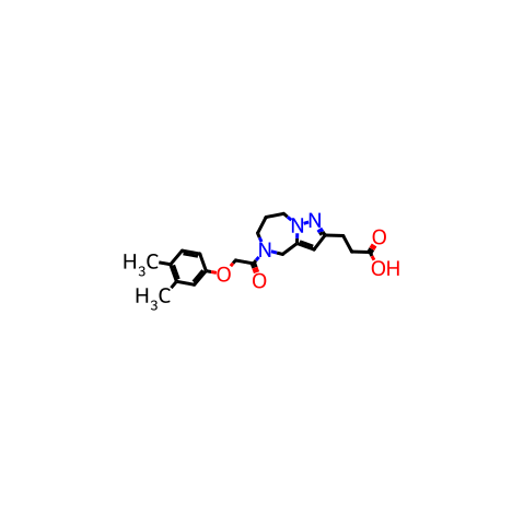 Cc1ccc(OCC(=O)N2CCCn3nc(CCC(=O)O)cc3C2)cc1C